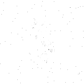 CC(C)(C)c1nc(Nc2cccnc2)sc1Cc1ccc2c(c1)OCO2